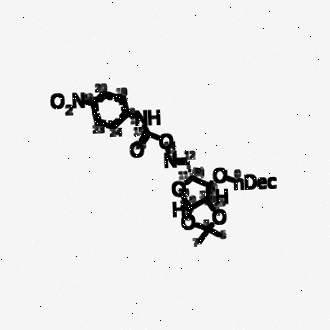 CCCCCCCCCCO[C@@H]1[C@H]2OC(C)(C)O[C@H]2O[C@@H]1C=NOC(=O)Nc1ccc([N+](=O)[O-])cc1